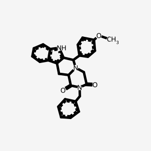 COc1ccc(C2c3[nH]c4ccccc4c3CC3C(=O)N(Cc4ccccc4)C(=O)CN32)cc1